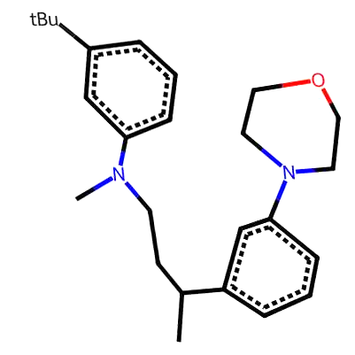 CC(CCN(C)c1cccc(C(C)(C)C)c1)c1cccc(N2CCOCC2)c1